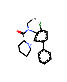 N#CCN(C(=O)[C@H]1CCCCN1)c1cc(-c2ccccc2)ccc1Cl